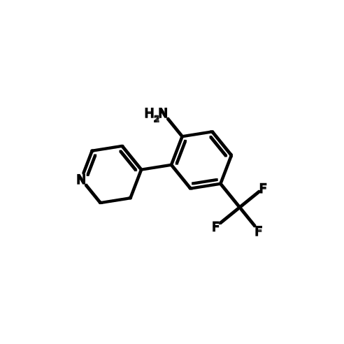 Nc1ccc(C(F)(F)F)cc1C1=CC=NCC1